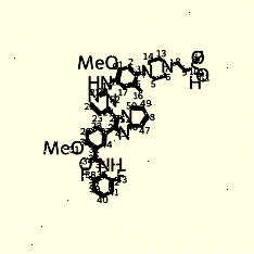 COc1cc(N2CCN(CC[SH](=O)=O)CC2)c(C)cc1Nc1nccc(-c2c(-c3ccc(OC)c(C(=O)Nc4c(F)cccc4F)c3)nc3ccccn23)n1